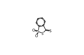 O=S1(=O)SC(=S)c2ccccc21